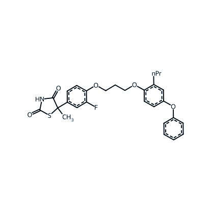 CCCc1cc(Oc2ccccc2)ccc1OCCCOc1ccc(C2(C)SC(=O)NC2=O)cc1F